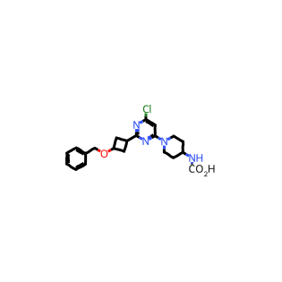 O=C(O)NC1CCN(c2cc(Cl)nc(C3CC(OCc4ccccc4)C3)n2)CC1